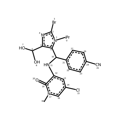 CC(C)n1c(Br)nc(C(O)O)c1C(Nc1cc(Cl)cn(C)c1=O)c1ccc(C#N)cc1